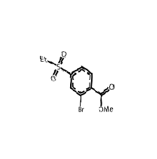 CCS(=O)(=O)c1ccc(C(=O)OC)c(Br)c1